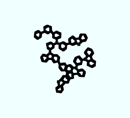 c1ccc(-c2cccc(-c3cccc(N(c4cccc(-c5ccc6c(c5)oc5ccccc56)c4)c4cccc(-n5c6ccccc6c6cc(-c7ccc(-c8cccc(-c9ccccc9N(c9cccc(-c%10ccc%11c(c%10)oc%10ccccc%10%11)c9)c9cccc(-n%10c%11ccccc%11c%11ccccc%11%10)c9)c8)cc7)ccc65)c4)c3)c2)cc1